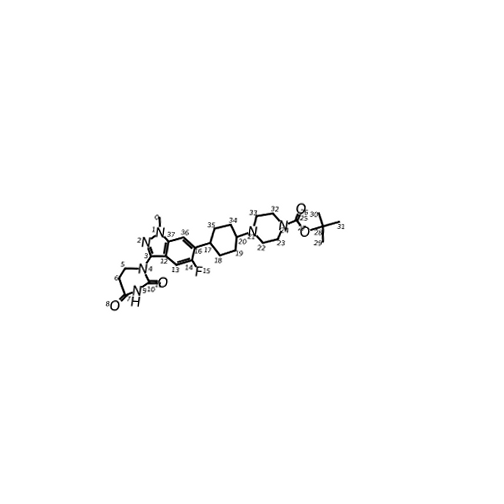 Cn1nc(N2CCC(=O)NC2=O)c2cc(F)c(C3CCC(N4CCN(C(=O)OC(C)(C)C)CC4)CC3)cc21